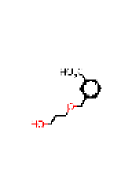 O=C(O)c1cccc(COCCCO)c1